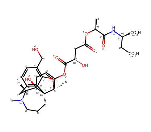 C[C@H](OC(=O)C[C@H](O)C(=O)OC1=CC[C@@]2(O)[C@H]3Cc4ccc(CO)c5c4[C@@]2(CCCN3C)[C@H]1O5)C(=O)N[C@H](CC(=O)O)C(=O)O